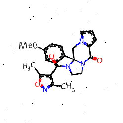 COc1ccc(C23Cn4cccc4C(=O)N2CCN3C(=O)c2c(C)noc2C)cc1